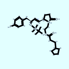 CC(C)(C)[Si](C)(C)O[C@H](/C=C/[C@H]1CCC(=O)N1CCOC(=O)CCC1CCCC1)Cc1ccc(F)cc1